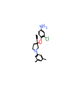 C#CC1(Oc2ccc(N)cc2Cl)CCN(c2cc(C)cc(C)c2)C1